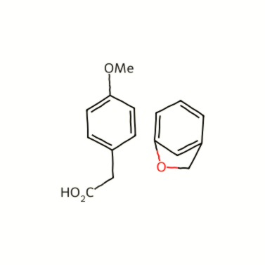 COc1ccc(CC(=O)O)cc1.c1cc2cc(c1)OC2